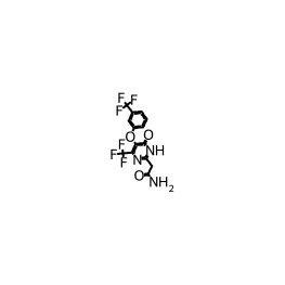 NC(=O)Cc1nc(C(F)(F)F)c(Oc2cccc(C(F)(F)F)c2)c(=O)[nH]1